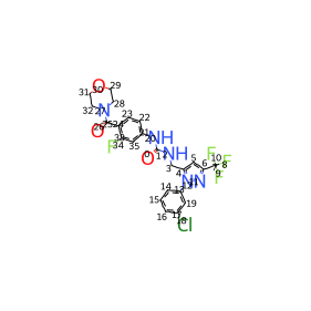 O=C(NCc1cc(C(F)(F)F)nn1-c1cccc(Cl)c1)Nc1ccc(C(=O)N2CCOCC2)c(F)c1